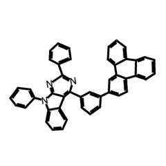 c1ccc(-c2nc(-c3cccc(-c4ccc5c6ccccc6c6ccccc6c5c4)c3)c3c4ccccc4n(-c4ccccc4)c3n2)cc1